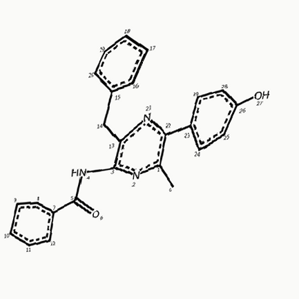 Cc1nc(NC(=O)c2ccccc2)c(Cc2ccccc2)nc1-c1ccc(O)cc1